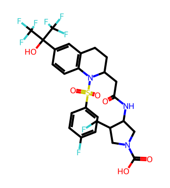 O=C(CC1CCc2cc(C(O)(C(F)(F)F)C(F)(F)F)ccc2N1S(=O)(=O)c1ccc(F)cc1)NC1CN(C(=O)O)CC1CF